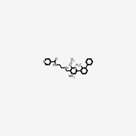 COc1nc(-c2cccc(-c3ccccc3)c2C)ccc1CNCCNC(=O)c1ccncc1.N